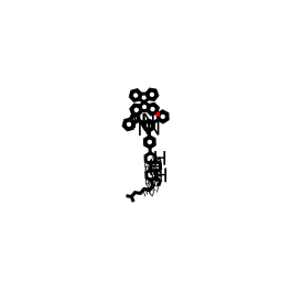 CC(C)CCC[C@@H](C)[C@H]1CC[C@H]2[C@@H]3CC[C@H]4CC(c5ccc(-c6nc(-c7ccccc7)nc(-n7c8ccccc8c8ccc9c(c87)-c7ccccc7C97c8ccccc8-c8ccccc87)n6)cc5)CC[C@]4(C)[C@@]3(C)CC[C@]12C